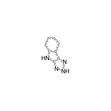 c1ccc2c(c1)[nH]c1n[nH]nc12